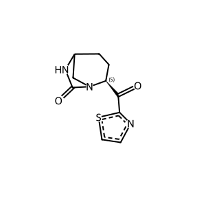 O=C(c1nccs1)[C@@H]1CCC2CN1C(=O)N2